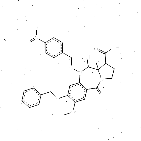 COc1cc2c(cc1OCc1ccccc1)N(OCc1ccc([N+](=O)[O-])cc1)C(O)[C@@H]1C(C(=O)O)CCN1C2=O